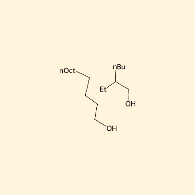 CCCCC(CC)CO.CCCCCCCCCCCCO